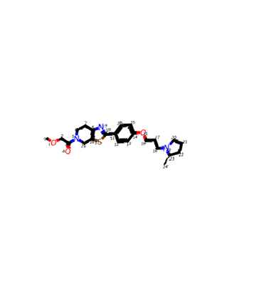 COCC(=O)N1CCc2nc(-c3ccc(OCCCN4CCC[C@H]4C)cc3)sc2C1